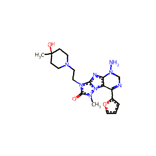 Cn1c(=O)n(CCN2CCC(C)(O)CC2)c2nc3c(n21)C(c1ccco1)=NCN3N